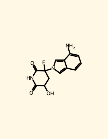 Nc1cccc2cn(C3(F)CC(O)C(=O)NC3=O)cc12